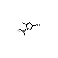 CB(O)N1C[C@H](N)C[C@@H]1C